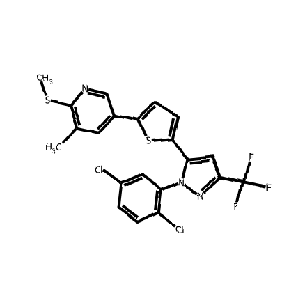 CSc1ncc(-c2ccc(-c3cc(C(F)(F)F)nn3-c3cc(Cl)ccc3Cl)s2)cc1C